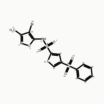 Cc1noc(NS(=O)(=O)c2cc(S(=O)(=O)c3ccccc3)cs2)c1Br